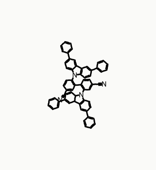 N#Cc1ccc(-n2c3ccc(-c4ccccc4)cc3c3cc(-c4ccccc4)ccc32)c(-c2ccc(C#N)cc2N2c3ccc(-c4ccccc4)cc3C3C=C(c4ccccc4)C=CC32)c1